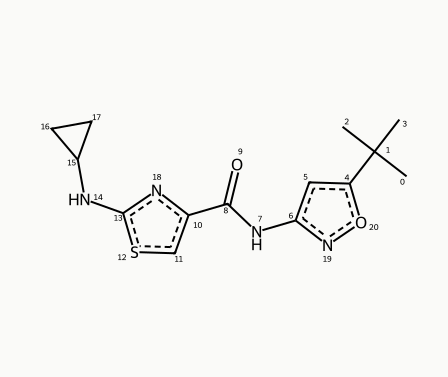 CC(C)(C)c1cc(NC(=O)c2csc(NC3CC3)n2)no1